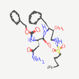 CC(C)CCCS(=O)(=O)NC[C@@H](O)[C@H](Cc1ccccc1)NC(=O)[C@H](CC(N)=O)NC(=O)OCc1ccccc1